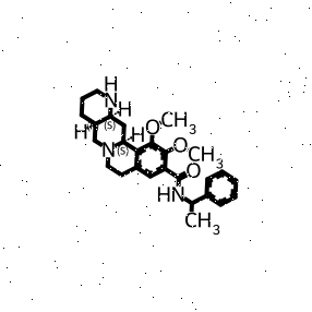 COc1c(C(=O)NC(C)c2ccccc2)cc2c(c1OC)[C@@H]1C[C@@H]3NCCC[C@@H]3CN1CC2